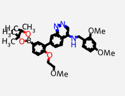 COCCOc1ccc(B2OC(C)(C)C(C)(C)O2)cc1-c1ccc2c(NCc3ccc(OC)cc3OC)cnnc2c1